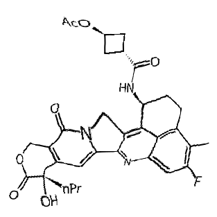 CCC[C@@]1(O)C(=O)OCc2c1cc1n(c2=O)Cc2c-1nc1cc(F)c(C)c3c1c2[C@@H](NC(=O)[C@H]1C[C@H](OC(C)=O)C1)CC3